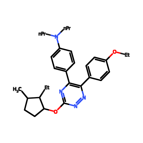 CCCN(CCC)c1ccc(-c2nc(OC3CCC(C)C3CC)nnc2-c2ccc(OCC)cc2)cc1